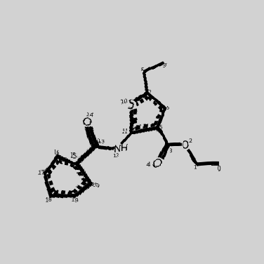 CCOC(=O)c1cc(CC)sc1NC(=O)c1ccccc1